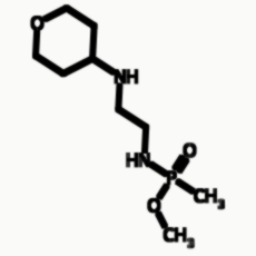 COP(C)(=O)NCCNC1CCOCC1